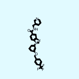 O=C(NCc1cccnc1)c1ccc2c(c1)ncn2-c1cccc(OCc2ccc(C(F)(F)F)cc2)c1